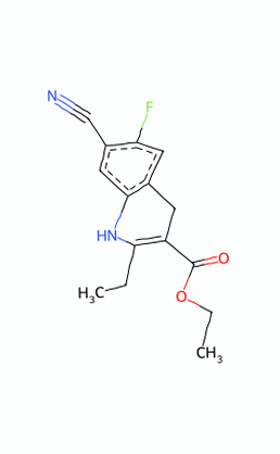 CCOC(=O)C1=C(CC)Nc2cc(C#N)c(F)cc2C1